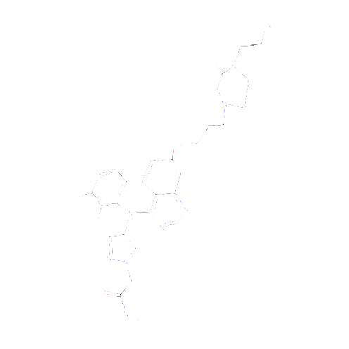 NC(=O)Cn1cc(N(c2cccc(F)c2F)c2ncnc3cc(OCCCN4CCN(CCO)C(=O)C4)ccc23)cn1